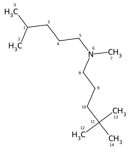 CC(C)CCCN(C)CCCC(C)(C)C